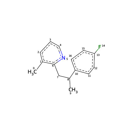 Cc1cccnc1CC(C)c1ccc(F)cc1